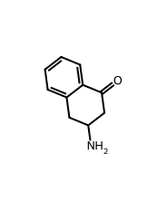 NC1CC(=O)c2ccccc2C1